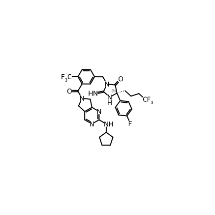 N=C1N[C@](CCCC(F)(F)F)(c2ccc(F)cc2)C(=O)N1Cc1ccc(C(F)(F)F)c(C(=O)N2Cc3cnc(NC4CCCC4)nc3C2)c1